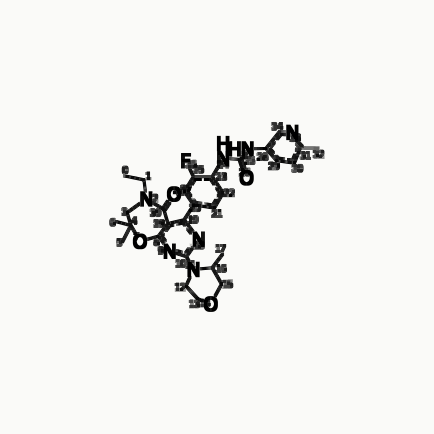 CCN1CC(C)(C)Oc2nc(N3CCOCC3C)nc(-c3ccc(NC(=O)Nc4ccc(C)nc4)c(F)c3)c2C1=O